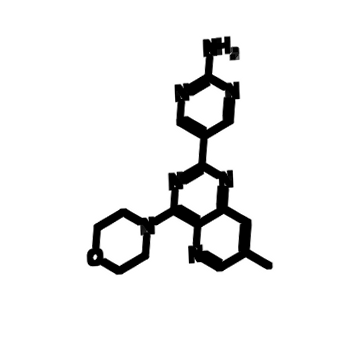 Cc1cnc2c(N3CCOCC3)nc(-c3cnc(N)nc3)nc2c1